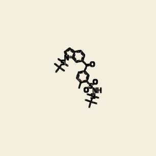 Cc1ccc(C(=O)c2ccc3ccn([Si](C)(C)C(C)(C)C)c3c2)cc1S(=O)(=O)N[Si](C)(C)C(C)(C)C